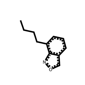 CCCCc1cccc2conc12